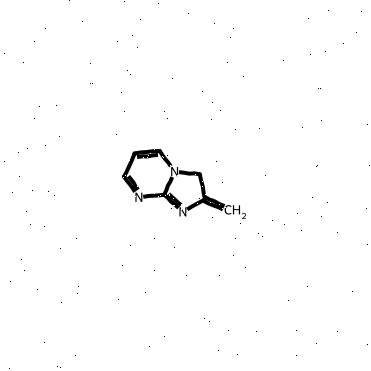 C=C1CN2C=CC=NC2=N1